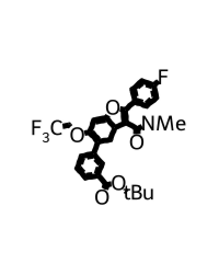 CNC(=O)C1=C(c2ccc(F)cc2)OC2=CC(OCC(F)(F)F)=C(c3cccc(C(=O)OC(C)(C)C)c3)CC21